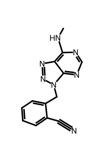 CNc1ncnc2c1nnn2Cc1ccccc1C#N